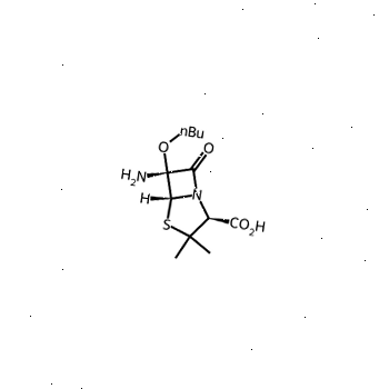 CCCCO[C@]1(N)C(=O)N2[C@@H](C(=O)O)C(C)(C)S[C@@H]21